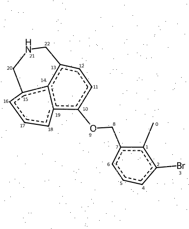 Cc1c(Br)cccc1COc1ccc2c3c(cccc13)CNC2